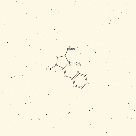 CCCCCCCCCC1CC(O)C(=Cc2ccccc2)N1C